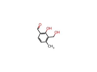 Cc1ccc(C=O)c(O)c1CO